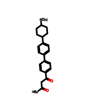 CCCCCCCCC1CCC(c2ccc(-c3ccc(C(=O)CC(=O)CCCC)cc3)cc2)CC1